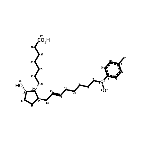 Cc1ccc([S+]([O-])CCCCC/C=C/C[C@H]2CC[C@H](O)[C@@H]2CCCCCCC(=O)O)cc1